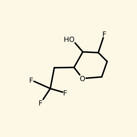 OC1C(F)CCOC1CC(F)(F)F